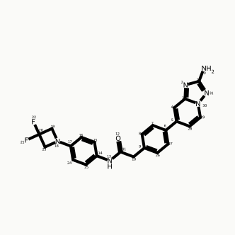 Nc1nc2cc(-c3ccc(CC(=O)Nc4ccc(N5CC(F)(F)C5)cc4)cc3)ccn2n1